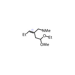 CC/C=C(/CNC)CC(OC)OCC